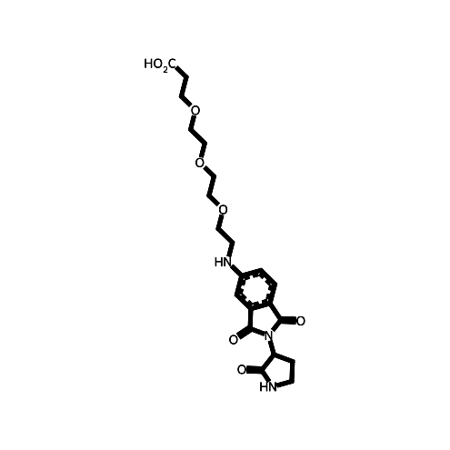 O=C(O)CCOCCOCCOCCNc1ccc2c(c1)C(=O)N(C1CCNC1=O)C2=O